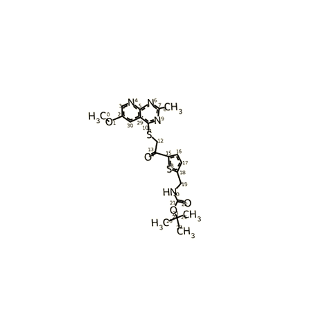 COc1cnc2nc(C)nc(SCC(=O)c3ccc(CNC(=O)OC(C)(C)C)s3)c2c1